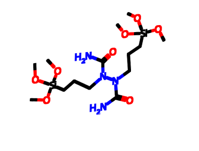 CO[Si](CCCN(C(N)=O)N(CCC[Si](OC)(OC)OC)C(N)=O)(OC)OC